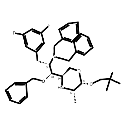 C[C@@H]1N[C@@H]([C@H](OCc2ccccc2)[C@H](Cc2cc(F)cc(F)c2)N(Cc2ccccc2)Cc2ccccc2)CO[C@@H]1OCC(C)(C)C